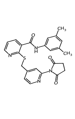 Cc1cc(C)cc(NC(=O)c2cccnc2SCc2ccnc(N3C(=O)CCC3=O)c2)c1